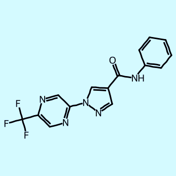 O=C(Nc1ccccc1)c1cnn(-c2cnc(C(F)(F)F)cn2)c1